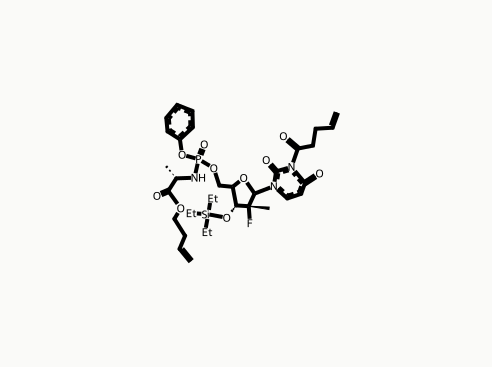 C=CCCOC(=O)[C@H](C)NP(=O)(OCC1OC(n2ccc(=O)n(C(=O)CCC=C)c2=O)[C@](C)(F)[C@@H]1O[Si](CC)(CC)CC)Oc1ccccc1